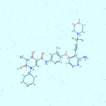 CCn1c(=O)c(C(=O)Nc2ccc(Oc3ccnc(N)c3C#CC(C)(C)N3CCOCC3)c(F)c2)cn(C2CCCCC2)c1=O